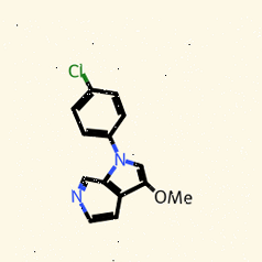 COc1cn(-c2ccc(Cl)cc2)c2cnccc12